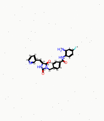 Nc1cc(F)ccc1NC(=O)c1ccc(CN2C(=O)N/C(=C\c3cccnc3)C2=O)cc1